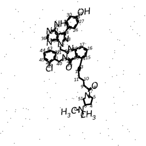 CN(C)C1CCN(C(=O)CCCC#Cc2cccc3nc(Cn4nc(-c5ccc(O)cc5)c5c(N)ncnc54)n(Cc4ccccc4Cl)c(=O)c23)C1